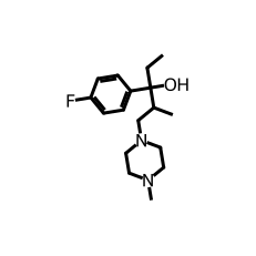 CCC(O)(c1ccc(F)cc1)C(C)CN1CCN(C)CC1